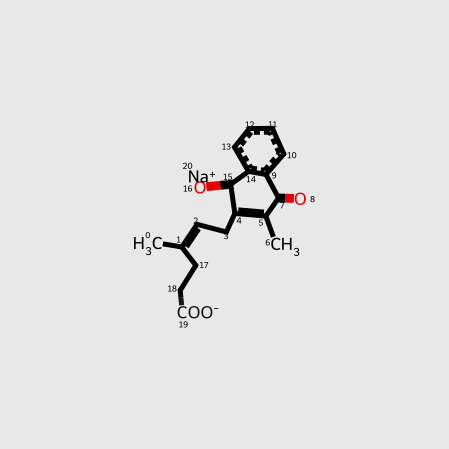 CC(=CCC1=C(C)C(=O)c2ccccc2C1=O)CCC(=O)[O-].[Na+]